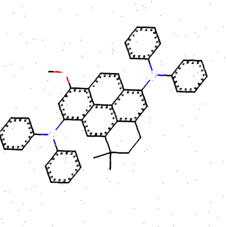 COc1cc(N(c2ccccc2)c2ccccc2)c2cc3c4c(cc(N(c5ccccc5)c5ccccc5)c5ccc1c2c54)CCC3(C)C